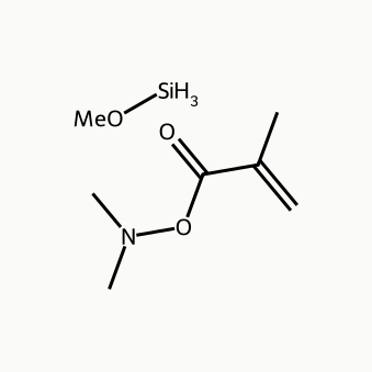 C=C(C)C(=O)ON(C)C.CO[SiH3]